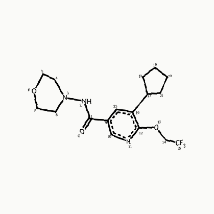 O=C(NN1CCOCC1)c1cnc(OCC(F)(F)F)c(C2CCCC2)c1